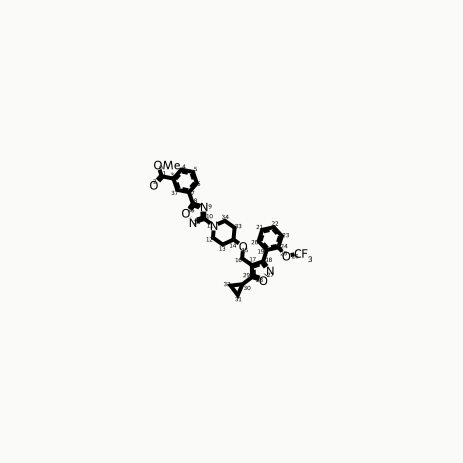 COC(=O)c1cccc(-c2nc(N3CCC(OCc4c(-c5ccccc5OC(F)(F)F)noc4C4CC4)CC3)no2)c1